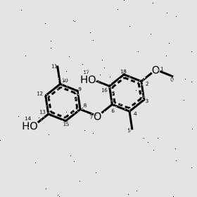 COc1cc(C)c(Oc2cc(C)cc(O)c2)c(O)c1